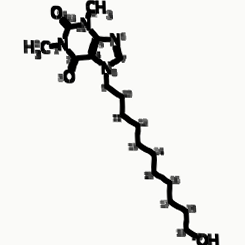 Cn1c(=O)c2c(ncn2CCCCCCCCCCCO)n(C)c1=O